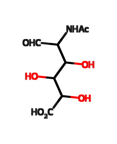 CC(=O)NC(C=O)C(O)C(O)C(O)C(=O)O